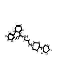 O=C(NCCCN1CCC(N2CCCCC2)CC1)c1ccccc1-c1ccccc1